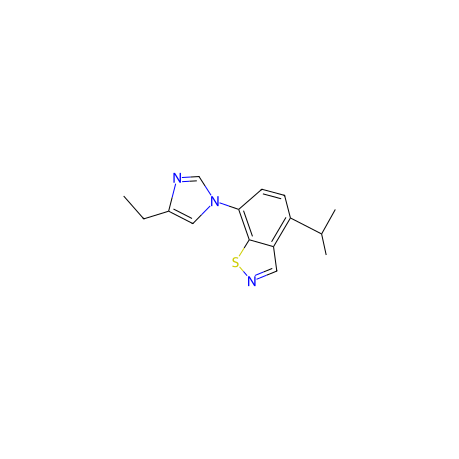 CCc1cn(-c2ccc(C(C)C)c3cnsc23)cn1